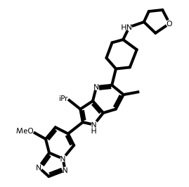 COc1cc(-c2[nH]c3cc(C)c(C4CCC(NC5CCOC5)CC4)nc3c2C(C)C)cn2ncnc12